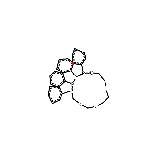 c1ccc(P2CCCCCCCCCCP(c3ccccc3)P(c3ccccc3)P2c2ccccc2)cc1